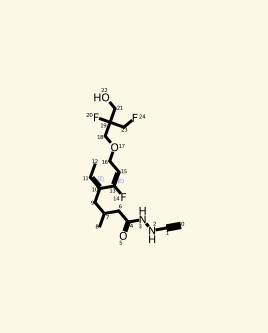 C#CNNC(=O)CC(C)CC(=C/C)/C(F)=C\COCC(F)(CO)CF